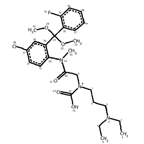 CCN(CC)CCCN(CC(=O)N(C)c1ccc(Cl)cc1C(OC)(OC)c1ccccc1F)C(=O)O